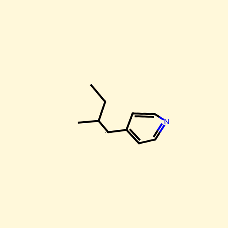 CCC(C)[CH]c1ccncc1